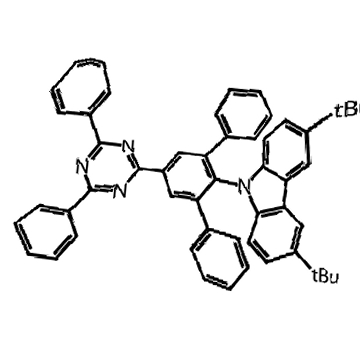 CC(C)(C)c1ccc2c(c1)c1cc(C(C)(C)C)ccc1n2-c1c(-c2ccccc2)cc(-c2nc(-c3ccccc3)nc(-c3ccccc3)n2)cc1-c1ccccc1